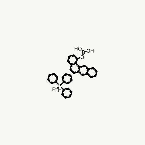 CC[PH](c1ccccc1)(c1ccccc1)c1ccccc1.OB(O)Oc1cccc2ccc3cc4ccccc4cc3c12